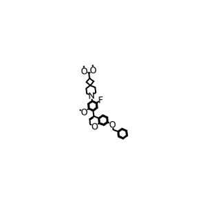 COc1cc(N2CCC3(CC2)CC(C(OC)OC)C3)c(F)cc1C1=CCOc2cc(OCc3ccccc3)ccc21